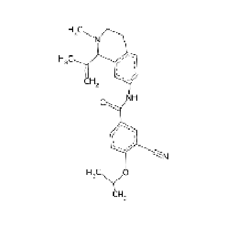 C=C(C)C1c2cc(NC(=O)c3ccc(OC(C)C)c(C#N)c3)ccc2CCN1C